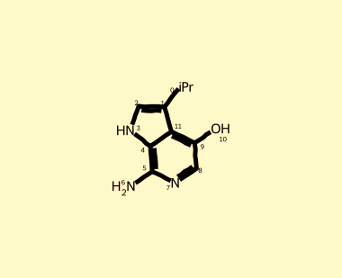 CC(C)c1c[nH]c2c(N)ncc(O)c12